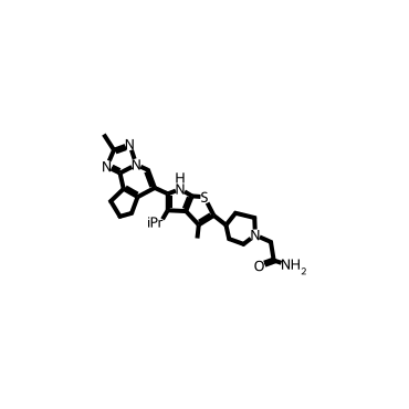 Cc1nc2c3c(c(-c4[nH]c5sc(C6CCN(CC(N)=O)CC6)c(C)c5c4C(C)C)cn2n1)CCC3